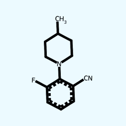 CC1CCN(c2c(F)cccc2C#N)CC1